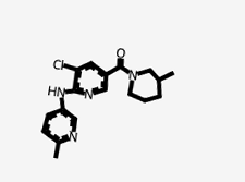 Cc1ccc(Nc2ncc(C(=O)N3CCCC(C)C3)cc2Cl)cn1